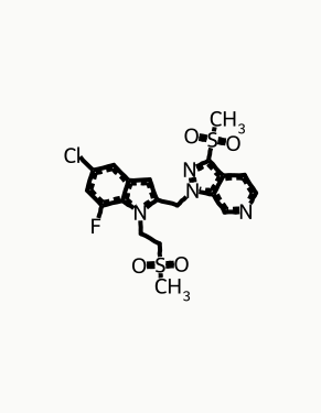 CS(=O)(=O)CCn1c(Cn2nc(S(C)(=O)=O)c3ccncc32)cc2cc(Cl)cc(F)c21